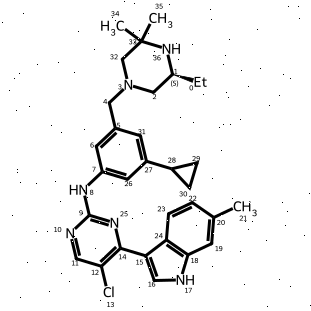 CC[C@H]1CN(Cc2cc(Nc3ncc(Cl)c(-c4c[nH]c5cc(C)ccc45)n3)cc(C3CC3)c2)CC(C)(C)N1